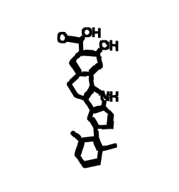 Cc1cccc(C)c1-c1ccc2[nH]c3c(c2c1)CCc1cc(C(=O)O)c(O)cc1-3